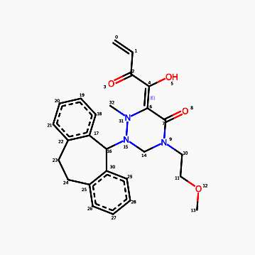 C=CC(=O)/C(O)=C1/C(=O)N(CCOC)CN(C2c3ccccc3CCc3ccccc32)N1C